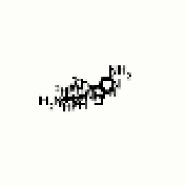 [2H]C([2H])(N)C(F)(F)C([2H])([2H])N[C@H](COC)c1cc(N)nnc1Cl